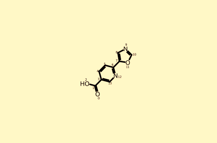 O=C(O)c1ccc(-c2cnco2)nc1